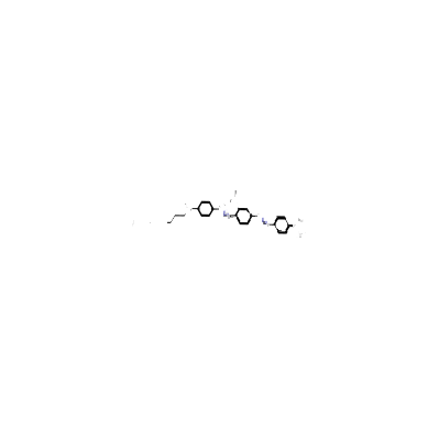 CN(CCCC(=O)O)c1ccc(/N=N/c2ccc(/N=N/c3ccc([SH](=O)=O)cc3)cc2[SH](=O)=O)cc1